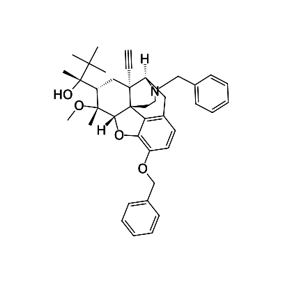 C#C[C@@]12C[C@@H]([C@](C)(O)C(C)(C)C)[C@@](C)(OC)[C@H]3Oc4c(OCc5ccccc5)ccc5c4[C@]31CCN(Cc1ccccc1)[C@@H]2C5